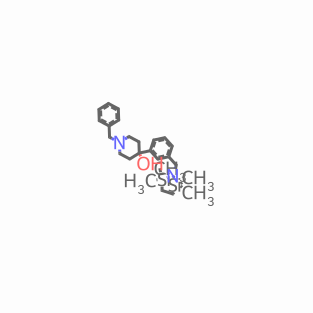 C[Si]1(C)CC[Si](C)(C)N1Cc1cccc(C2(O)CCN(Cc3ccccc3)CC2)c1